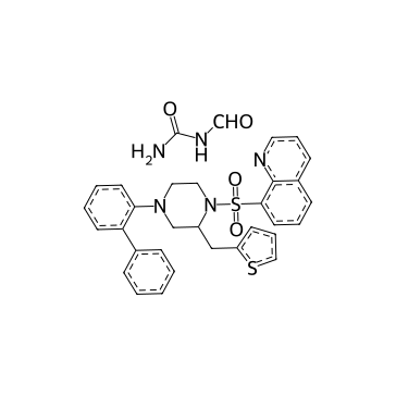 NC(=O)NC=O.O=S(=O)(c1cccc2cccnc12)N1CCN(c2ccccc2-c2ccccc2)CC1Cc1cccs1